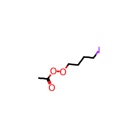 CC(=O)OOCCCCI